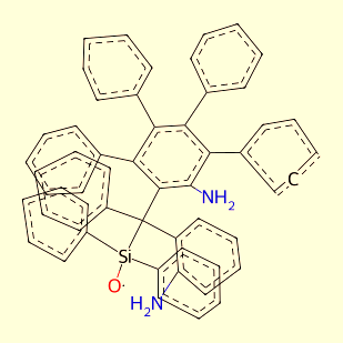 Nc1ccccc1C(c1ccccc1)(c1c(N)c(-c2ccccc2)c(-c2ccccc2)c(-c2ccccc2)c1-c1ccccc1)[Si]([O])(c1ccccc1)c1ccccc1